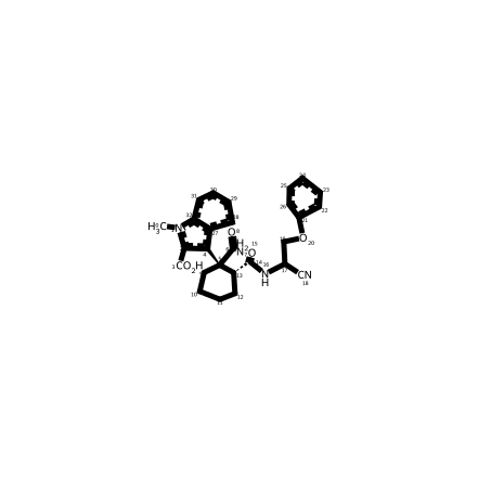 Cn1c(C(=O)O)c([C@]2(C(N)=O)CCCC[C@H]2C(=O)NC(C#N)COc2ccccc2)c2ccccc21